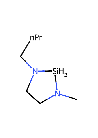 CCCCN1CCN(C)[SiH2]1